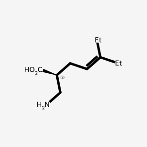 CCC(=CC[C@@H](CN)C(=O)O)CC